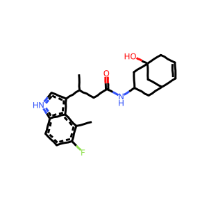 Cc1c(F)ccc2[nH]cc(C(C)CC(=O)NC3CC4C=CCC(O)(C4)C3)c12